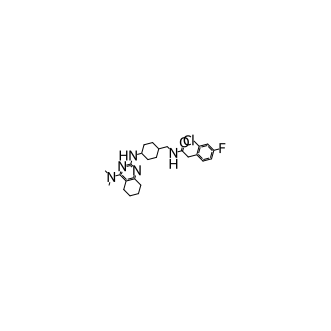 CN(C)c1nc(NC2CCC(CNC(=O)Cc3ccc(F)cc3Cl)CC2)nc2c1CCCC2